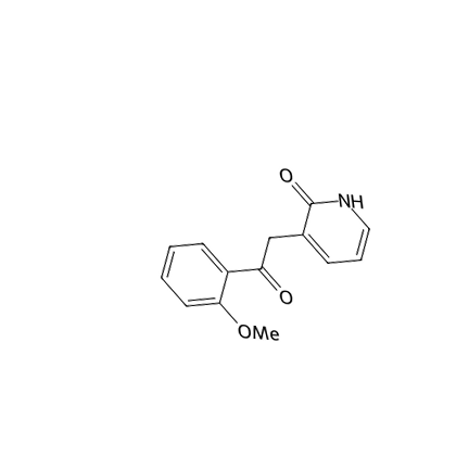 COc1ccccc1C(=O)Cc1ccc[nH]c1=O